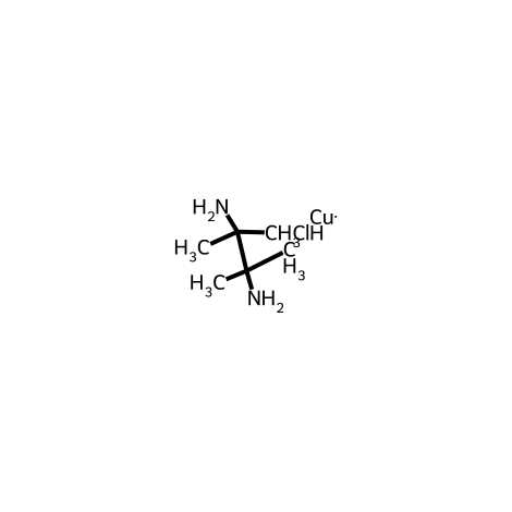 CC(C)(N)C(C)(C)N.Cl.[Cu]